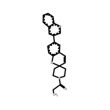 CCC(=O)N1CCC2(C=Cc3cc(-c4cnc5ccccc5c4)ccc3O2)CC1